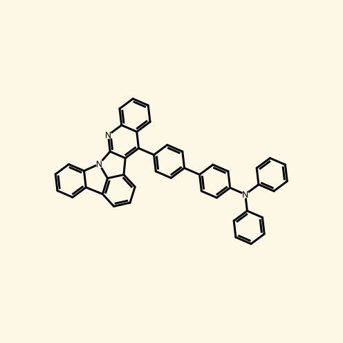 c1ccc(N(c2ccccc2)c2ccc(-c3ccc(-c4c5ccccc5nc5c4c4cccc6c7ccccc7n5c64)cc3)cc2)cc1